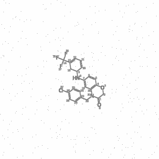 O=C1COc2ccc(NC3C=CC=C(C(F)(F)F)C3)cc2N1Cc1ccc(Cl)cc1